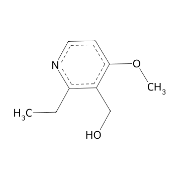 CCc1nccc(OC)c1CO